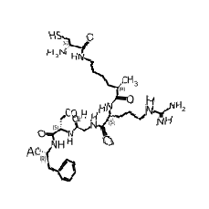 CC(=O)[C@@H](Cc1ccccc1)NC(=O)[C@H](CC(=O)O)NC(=O)CNC(=O)[C@H](CCCNC(=N)N)NC(=O)[C@H](C)CCCCNC(=O)[C@H](N)CS